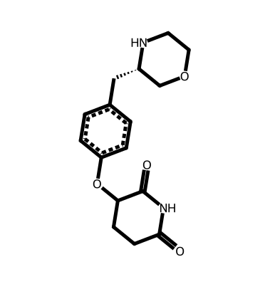 O=C1CCC(Oc2ccc(C[C@H]3COCCN3)cc2)C(=O)N1